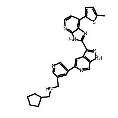 Cc1ccc(-c2ccnc3[nH]c(-c4n[nH]c5cnc(-c6cncc(CNCC7CCCC7)c6)cc45)nc23)s1